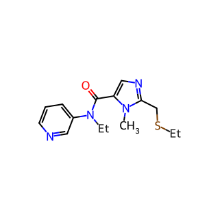 CCSCc1ncc(C(=O)N(CC)c2cccnc2)n1C